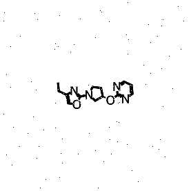 CCc1coc(N2CC[C@H](Oc3ncccn3)C2)n1